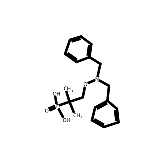 CC(C)(CON(Cc1ccccc1)Cc1ccccc1)P(=O)(O)O